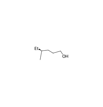 CC[C@H](C)CCCO